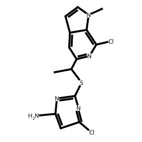 CC(Sc1nc(N)cc(Cl)n1)c1cc2ccn(C)c2c(Cl)n1